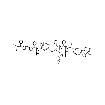 CCOC(=O)C1[C@@H](Cc2ccnc(NC(=O)OCOC(=O)C(C)C)c2)C(=O)N1C(=O)NC(C)c1ccc2c(c1)OC(F)(F)O2